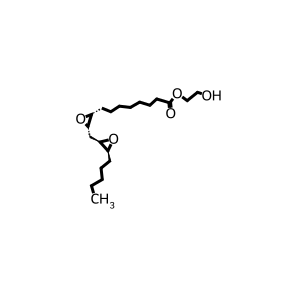 CCCCC[C@@H]1O[C@@H]1C[C@@H]1O[C@@H]1CCCCCCCC(=O)OCCO